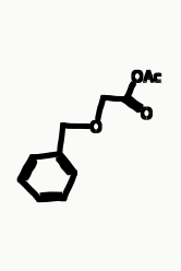 CC(=O)OC(=O)COCc1ccccc1